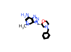 CN1C=C(N)c2nnn(C[C@H]3CN(Cc4ccccc4)CCO3)c2C1